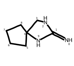 N=C1NCC2(CCCC2)N1